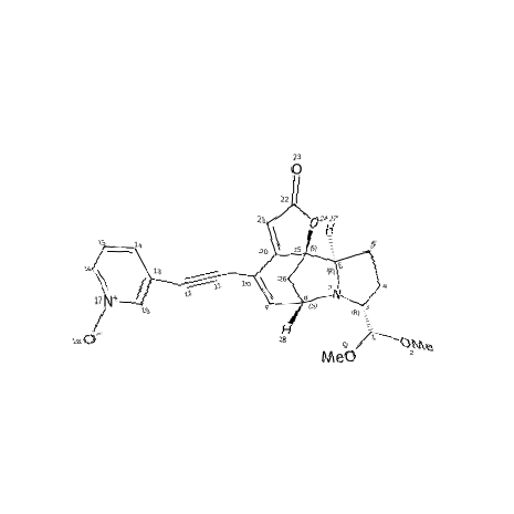 COC(OC)[C@H]1CC[C@H]2N1[C@@H]1C=C(C#Cc3ccc[n+]([O-])c3)C3=CC(=O)O[C@@]32C1